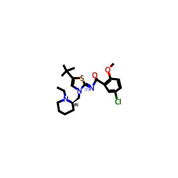 CCN1CCCC[C@@H]1Cn1cc(C(C)(C)C)s/c1=N\C(=O)c1cc(Cl)ccc1OC